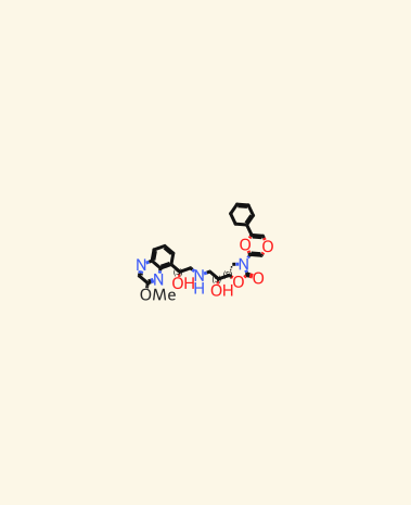 COc1cnc2cccc([C@H](O)CNC[C@H](O)[C@@H]3CN(C4=COC=C(C5=CC=CCC5)O4)C(=O)O3)c2n1